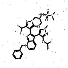 CN(C)S(=O)(=O)NC1COc2c(-c3nc4n(Cc5ccccc5)cccc-4c3-c3cn(C)nc3OC(F)F)c(C(F)F)nn2C1